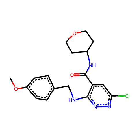 COc1ccc(CNc2nnc(Cl)cc2C(=O)NC2CCOCC2)cc1